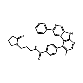 O=C(NCCCN1CCCC1=O)c1ccc(-c2c(F)cnc3[nH]c4cnc(-c5cccnc5)cc4c23)cc1